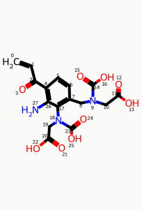 C=CC(=O)c1ccc(CN(CC(=O)O)C(=O)O)c(N(CC(=O)O)C(=O)O)c1N